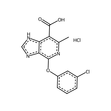 Cc1nc(Oc2cccc(Cl)c2)c2nc[nH]c2c1C(=O)O.Cl